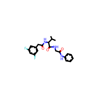 CC(C)C(NC(=O)Cc1cc(F)cc(F)c1)C(=O)NCC(=O)Nc1ccccc1